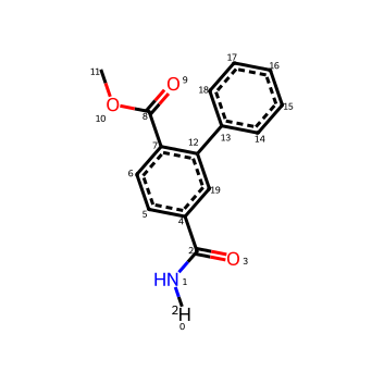 [2H]NC(=O)c1ccc(C(=O)OC)c(-c2ccccc2)c1